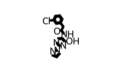 O=C(Cc1cccc(Cl)c1)Nc1cnc(-n2cccn2)nc1O